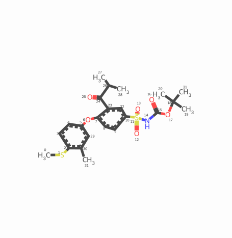 CSc1ccc(Oc2ccc(S(=O)(=O)NC(=O)OC(C)(C)C)cc2C(=O)C(C)C)cc1C